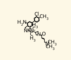 Cc1ccc(-c2cc(N)c(C=N)c(OC(C)(C)C3CN(C(=O)/C=C/CN(C)C)C3)c2)cc1Cl